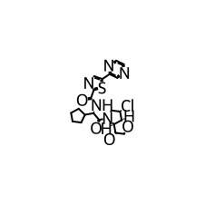 O=C(N[C@H](C(=O)N1C[C@H](Cl)[C@H]2OCC(=O)[C@H]21)C1CCCC1)c1ncc(-c2cnccn2)s1